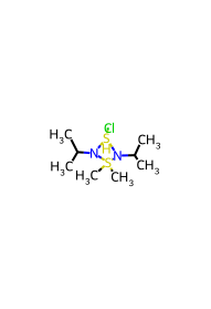 CC(C)N1[SH](Cl)N(C(C)C)S1(C)C